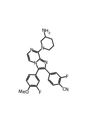 COc1ccc(-c2c(-c3ccc(C#N)c(F)c3)nc3c(N4CCCC(N)C4)nccn23)cc1F